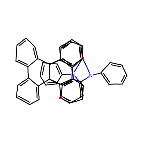 c1ccc(-n2c3cccc4c3c3c(cccc32)C23c5ccccc5-c5ccccc5C42c2cccc4c2c2c3cccc2n4-c2ccccc2)cc1